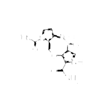 NC(=O)c1[nH]cc2c1OC=c1c(ccn1C(N)=O)=NS2(=O)=O